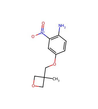 CC1(COc2ccc(N)c([N+](=O)[O-])c2)COC1